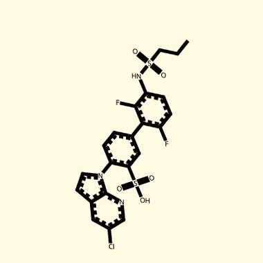 CCCS(=O)(=O)Nc1ccc(F)c(-c2ccc(-n3ccc4cc(Cl)cnc43)c(S(=O)(=O)O)c2)c1F